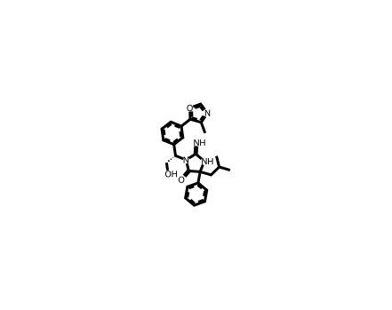 Cc1ncoc1-c1cccc([C@@H](CO)N2C(=N)NC(CC(C)C)(c3ccccc3)C2=O)c1